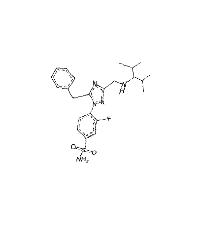 CC(C)C(NCc1nc(Cc2ccccc2)n(-c2ccc(S(N)(=O)=O)cc2F)n1)C(C)C